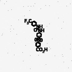 O=C(Nc1ccc(C(F)(F)F)cc1)NC1CCN(S(=O)(=O)c2ccc(C(=O)O)cc2)CC1